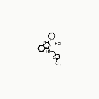 Cl.FC(F)(F)c1ccc(CNc2nc(N3CCCCC3)nc3ccccc23)o1